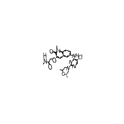 CNC(=O)COc1cc2cc(Nc3nc(N4CC(C)OC(C)C4)ncc3Cl)ccc2n(I)c1=O